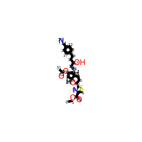 CCOC(=O)c1csc([C@H]2CC[C@@H]3[C@@H](/C=C/C(O)CCc4ccc(C#N)cc4)[C@H](OC(C)=O)C[C@@H]3O2)n1